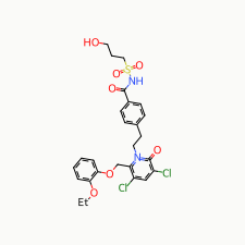 CCOc1ccccc1OCc1c(Cl)cc(Cl)c(=O)n1CCc1ccc(C(=O)NS(=O)(=O)CCCO)cc1